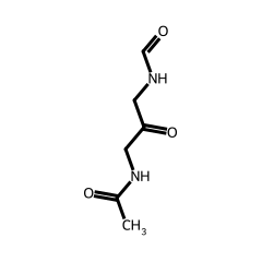 CC(=O)NCC(=O)CNC=O